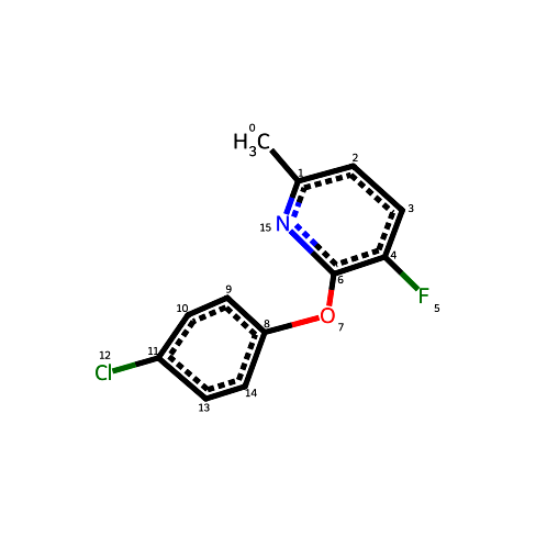 Cc1ccc(F)c(Oc2ccc(Cl)cc2)n1